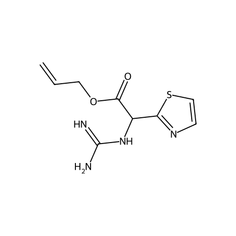 C=CCOC(=O)C(NC(=N)N)c1nccs1